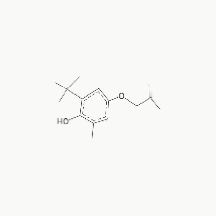 C=C(C)COc1cc(C)c(O)c(C(C)(C)C)c1